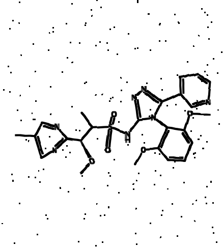 COc1cccc(OC)c1-n1c(NS(=O)(=O)C(C)[C@@H](OC)c2ncc(C)cn2)nnc1-c1cccnc1